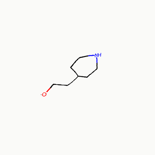 [O]CCC1CCNCC1